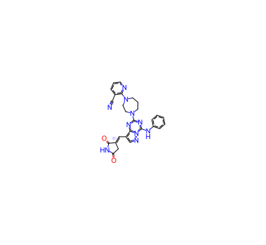 N#Cc1cccnc1N1CCCN(c2nc(Nc3ccccc3)n3ncc(/C=C4\CC(=O)NC4=O)c3n2)CC1